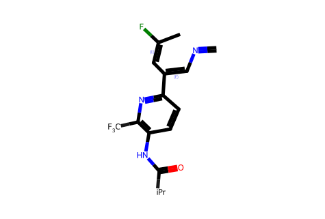 C=N/C=C(\C=C(/C)F)c1ccc(NC(=O)C(C)C)c(C(F)(F)F)n1